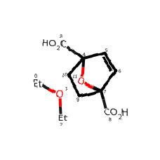 CCOCC.O=C(O)C12C=CC(C(=O)O)(CC1)O2